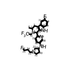 CC1Cc2c([nH]c3ccc(F)cc23)C(c2ccc(NC3CCN(CCCF)C3)cn2)N1CC(F)(F)F